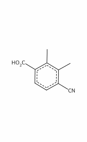 Cc1c(C#N)ccc(C(=O)O)c1C